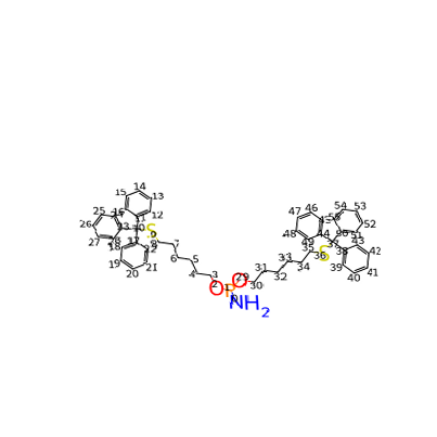 NP(OCCCCCCSC(c1ccccc1)(c1ccccc1)c1ccccc1)OCCCCCCSC(c1ccccc1)(c1ccccc1)c1ccccc1